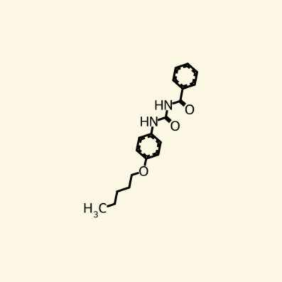 CCCCCOc1ccc(NC(=O)NC(=O)c2ccccc2)cc1